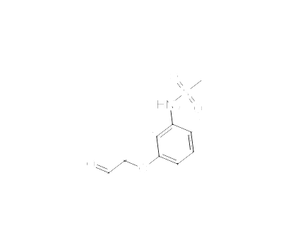 CS(=O)(=O)Nc1cccc(OC[C]=O)c1